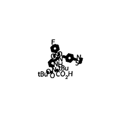 CC(C)(C)OC(=O)N(c1cccc(C(NCc2ccc(-c3nccs3)cc2)S(=O)(=O)c2ccc(F)cc2)n1)C(C(=O)O)C(C)(C)C